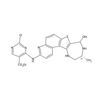 CCOC(=O)c1cnc(Cl)nc1Nc1ccc2c(ccc3sc4c(c32)NC[C@@H](C)NC4O)n1